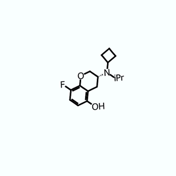 CC(C)N(C1CCC1)[C@H]1COc2c(F)ccc(O)c2C1